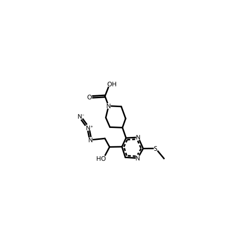 CSc1ncc(C(O)CN=[N+]=[N-])c(C2CCN(C(=O)O)CC2)n1